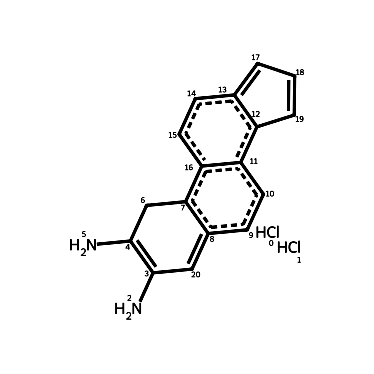 Cl.Cl.NC1=C(N)Cc2c(ccc3c4c(ccc23)=CC=C4)=C1